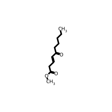 CCCCCC(=O)C=CCC(=O)OC